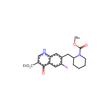 CCOC(=O)c1c[nH]c2cc(CC3CCCCN3C(=O)OC(C)(C)C)c(I)cc2c1=O